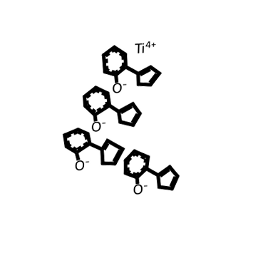 [O-]c1ccccc1C1=CC=CC1.[O-]c1ccccc1C1=CC=CC1.[O-]c1ccccc1C1=CC=CC1.[O-]c1ccccc1C1=CC=CC1.[Ti+4]